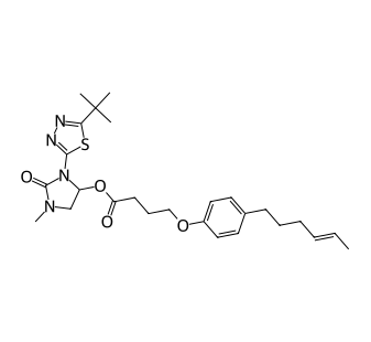 CC=CCCCc1ccc(OCCCC(=O)OC2CN(C)C(=O)N2c2nnc(C(C)(C)C)s2)cc1